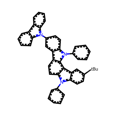 CC(C)(C)c1ccc2c(c1)c1c(ccc3c4cc(-n5c6ccccc6c6ccccc65)ccc4n(-c4ccccc4)c31)n2-c1ccccc1